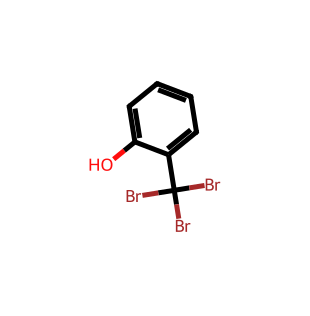 Oc1ccccc1C(Br)(Br)Br